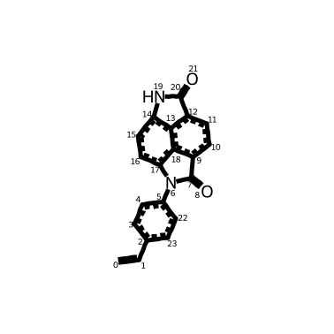 C=Cc1ccc(N2C(=O)c3ccc4c5c(ccc2c35)NC4=O)cc1